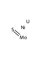 [Ni].[S]=[Mo].[U]